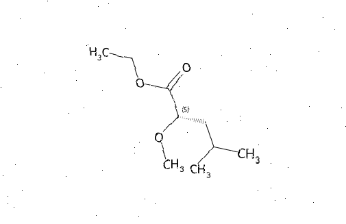 CCOC(=O)[C@H](CC(C)C)OC